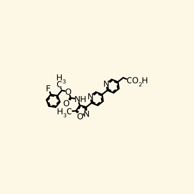 Cc1onc(-c2ccc(-c3ccc(CC(=O)O)cn3)cn2)c1NC(=O)O[C@H](C)c1ccccc1F